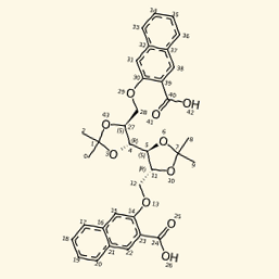 CC1(C)O[C@@H]([C@H]2OC(C)(C)O[C@@H]2COc2cc3ccccc3cc2C(=O)O)[C@H](COc2cc3ccccc3cc2C(=O)O)O1